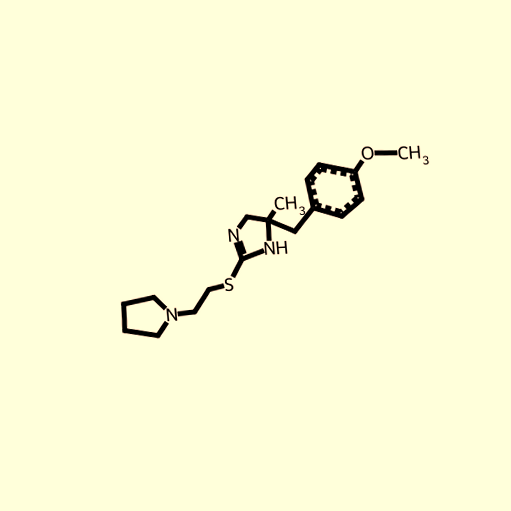 COc1ccc(CC2(C)CN=C(SCCN3CCCC3)N2)cc1